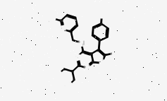 Cc1cccc(CNc2nc(C(CO)CO)nc3sc(C)c(-c4ccc(F)cc4)c23)n1